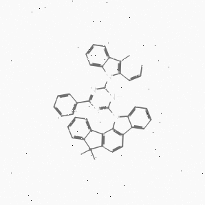 C/C=C\c1c(C)c2ccccc2n1C1N=C(c2ccccc2)N=C(n2c3ccccc3c3ccc4c(c32)-c2ccccc2C4(C)C)N1